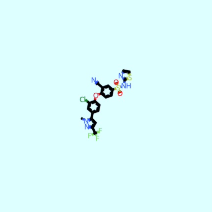 Cn1nc(C(F)(F)F)cc1-c1ccc(Oc2ccc(S(=O)(=O)Nc3nccs3)cc2C#N)c(Cl)c1